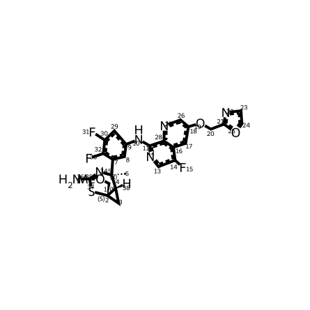 COC[C@]12C[C@H]1[C@](C)(c1cc(Nc3ncc(F)c4cc(OCc5ncco5)cnc34)cc(F)c1F)N=C(N)S2